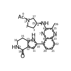 CC(=O)N1CC[C@H](Nc2nc3c(-c4cc5c([nH]4)CCNC5=O)cccc3nc2C)C1